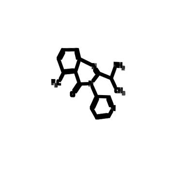 CC(N)c1nc2cccc(C(F)(F)F)c2c(=O)n1-c1cccnc1